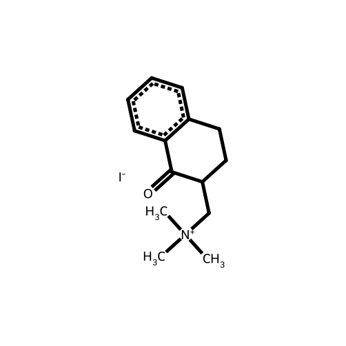 C[N+](C)(C)CC1CCc2ccccc2C1=O.[I-]